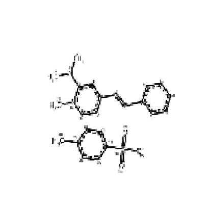 CN(C)c1cc(C=Cc2ccccc2)cc[n+]1C.Cc1ccc(S(=O)(=O)[O-])cc1